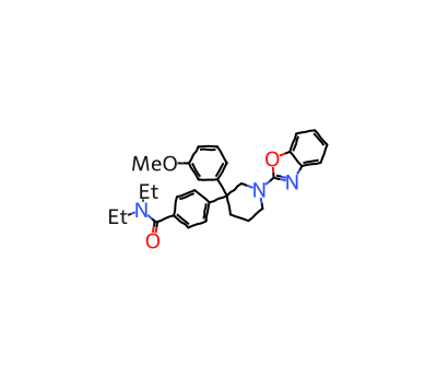 CCN(CC)C(=O)c1ccc(C2(c3cccc(OC)c3)CCCN(c3nc4ccccc4o3)C2)cc1